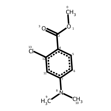 COC(=O)c1ccc(N(C)C)cc1Cl